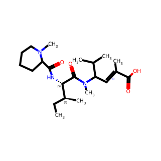 CC[C@H](C)[C@H](NC(=O)C1CCCCN1C)C(=O)N(C)C(/C=C(\C)C(=O)O)C(C)C